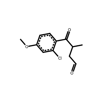 COc1ccc(C(=O)C(C)CC=O)c(Cl)c1